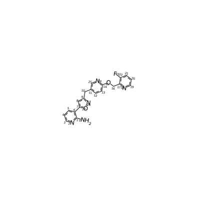 Nc1ncccc1-c1cc(Cc2ccc(OCc3ncccc3F)nc2)no1